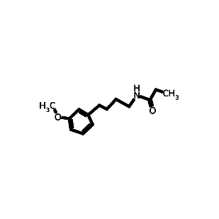 CCC(=O)NCCCCc1cccc(OC)c1